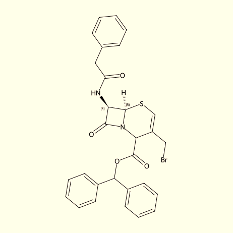 O=C(Cc1ccccc1)N[C@@H]1C(=O)N2C(C(=O)OC(c3ccccc3)c3ccccc3)C(CBr)=CS[C@H]12